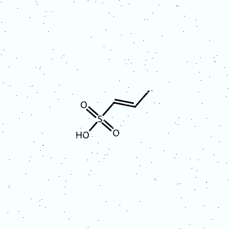 [CH2]/C=C/S(=O)(=O)O